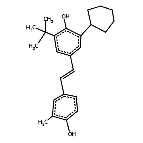 Cc1cc(/C=C/c2cc(C3CCCCC3)c(O)c(C(C)(C)C)c2)ccc1O